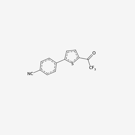 N#Cc1ccc(-c2ccc(C(=O)C(F)(F)F)s2)cc1